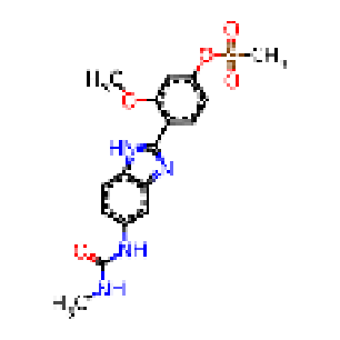 CNC(=O)Nc1ccc2[nH]c(-c3ccc(OS(C)(=O)=O)cc3OC)nc2c1